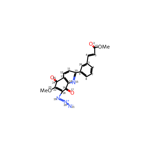 COC(=O)/C=C/c1cccc(-c2ccc3c(n2)C(=O)C(N=[N+]=[N-])=C(OC)C3=O)c1